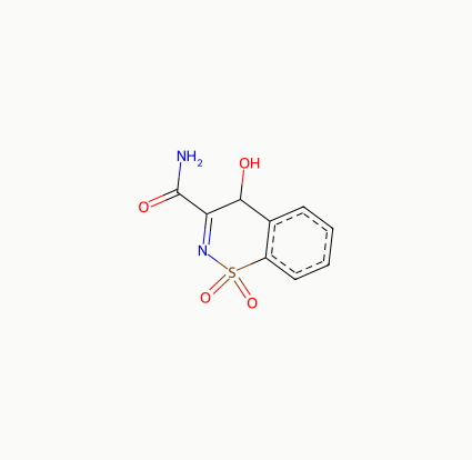 NC(=O)C1=NS(=O)(=O)c2ccccc2C1O